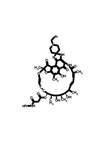 CCCNC(=O)CC(=O)O[C@@H]1CC/C=C/O[C@@]2(C)Oc3c(C)c(O)c4c(c3C2=O)C2=NC3(CCN(CC(C)C)CC3)NC2=C(NC(=O)/C(C)=C\C=C\C(C)[C@H](O)[C@@H](C)[C@@H](O)[C@H]1C)C4=O